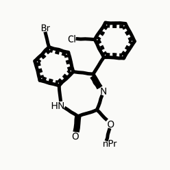 CCCOC1N=C(c2ccccc2Cl)c2cc(Br)ccc2NC1=O